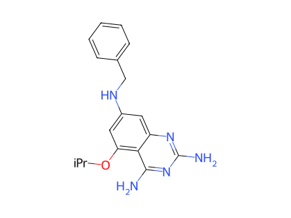 CC(C)Oc1cc(NCc2ccccc2)cc2nc(N)nc(N)c12